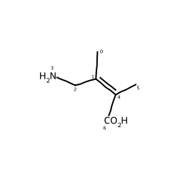 CC(CN)=C(C)C(=O)O